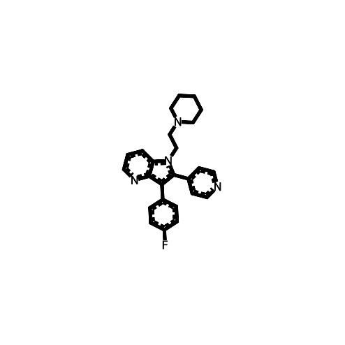 Fc1ccc(-c2c(-c3ccncc3)n(CCN3CCCCC3)c3cccnc23)cc1